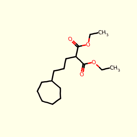 CCOC(=O)C(CCCC1CCCCCC1)C(=O)OCC